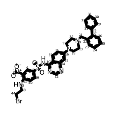 O=[N+]([O-])c1cc(S(=O)(=O)Nc2ncnc3cc(N4CCN(Cc5ccccc5-c5ccccc5)CC4)ccc23)ccc1NCCBr